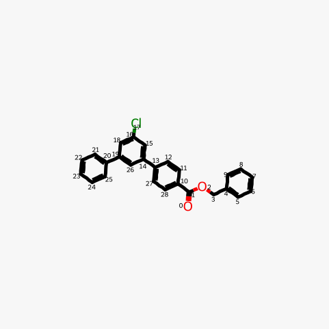 O=C(OCc1ccccc1)c1ccc(-c2cc(Cl)cc(-c3ccccc3)c2)cc1